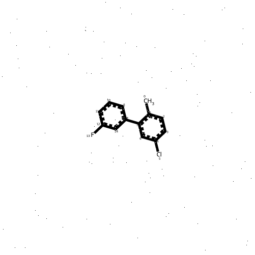 Cc1ccc(Cl)cc1-c1[c]ccc(F)c1